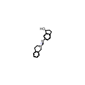 OC1CCc2ccc(/N=C/N3CCc4ccccc4C3)cc21